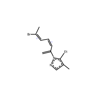 C=C(/C=C\C=C(/C)Br)n1ncc(C)c1CC